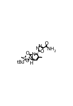 CC1=C[C@@H]2CN(C(=O)N2O[Si](C)(C)C(C)(C)C)[C@@H]1c1nnc(C(N)=O)o1